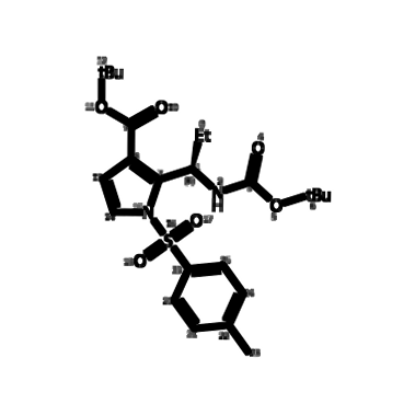 CC[C@@H](NC(=O)OC(C)(C)C)c1c(C(=O)OC(C)(C)C)ccn1S(=O)(=O)c1ccc(C)cc1